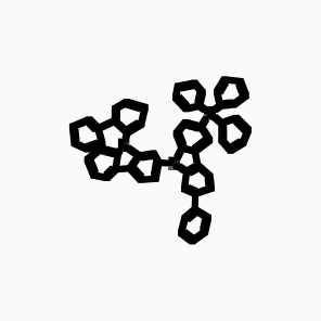 c1ccc(-c2ccc3c4cc([Si](c5ccccc5)(c5ccccc5)c5ccccc5)ccc4n(-c4ccc5c6ccccc6n(-c6ccccc6-c6ccccc6)c5c4)c3c2)cc1